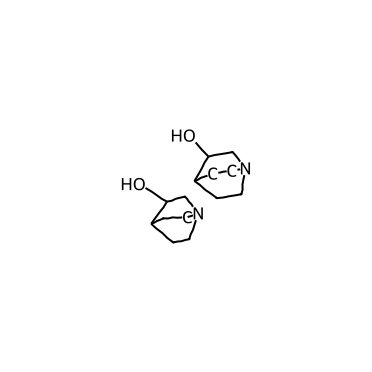 OC1CN2CCC1CC2.OC1CN2CCC1CC2